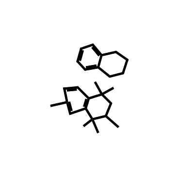 Cc1ccc2c(c1)C(C)(C)C(C)CC2(C)C.c1ccc2c(c1)CCCC2